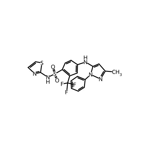 Cc1cc(Nc2ccc(S(=O)(=O)Nc3nccs3)c(C(F)(F)F)c2)n(-c2ccccc2)n1